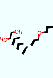 C=CC.C=CC.C=CC.C=CCOCC=C.OCCO